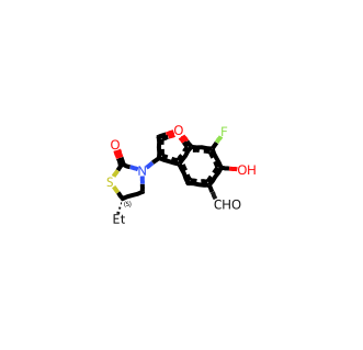 CC[C@H]1CN(c2coc3c(F)c(O)c(C=O)cc23)C(=O)S1